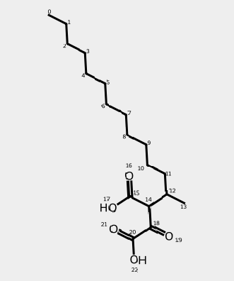 CCCCCCCCCCCCC(C)C(C(=O)O)C(=O)C(=O)O